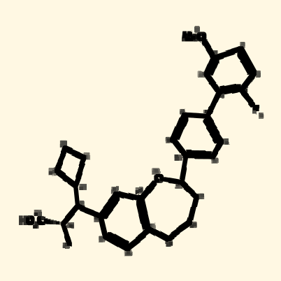 COc1ccc(F)c(-c2ccc(C3CCCc4ccc(C(C5CCC5)[C@H](C)C(=O)O)cc4O3)cc2)c1